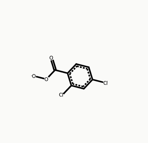 [O]OC(=O)c1ccc(Cl)cc1Cl